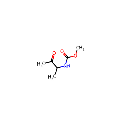 COC(=O)NC(C)C(C)=O